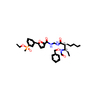 CCCCC[C@@H](C(=O)NCNC(=O)c1ccc(-c2cccc(P(C)(=O)OCC)c2)o1)[C@@H](CC)N(C=O)OCc1ccccc1